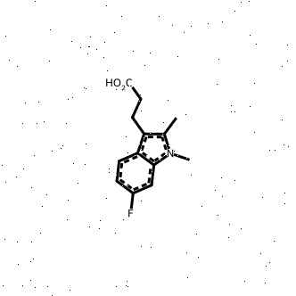 Cc1c(CCC(=O)O)c2ccc(F)cc2n1C